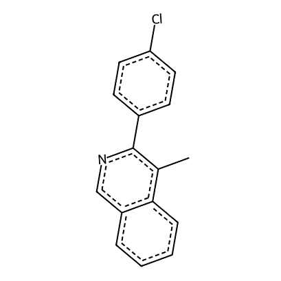 Cc1c(-c2ccc(Cl)cc2)ncc2ccccc12